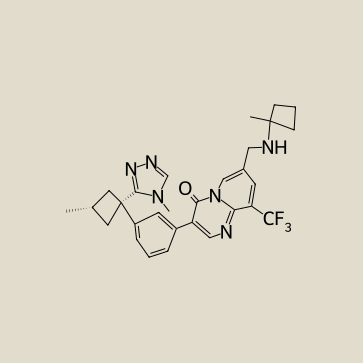 Cn1cnnc1[C@]1(c2cccc(-c3cnc4c(C(F)(F)F)cc(CNC5(C)CCC5)cn4c3=O)c2)C[C@H](C)C1